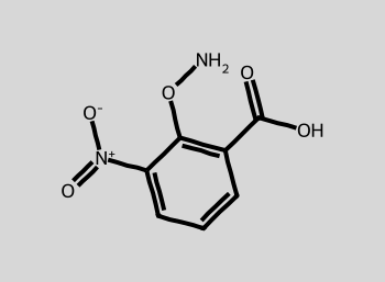 NOc1c(C(=O)O)cccc1[N+](=O)[O-]